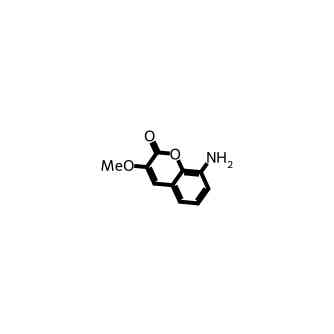 COc1cc2cccc(N)c2oc1=O